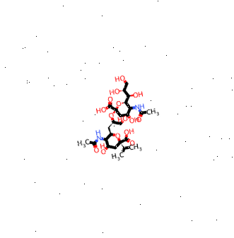 CC(=O)NC1C(O)C[C@@](C(=O)O)(C(C)C)O[C@@H]1C[C@@H](CO)O[C@]1(C(=O)O)CC(O)C(NC(C)=O)[C@@H]([C@H](O)[C@H](O)CO)O1